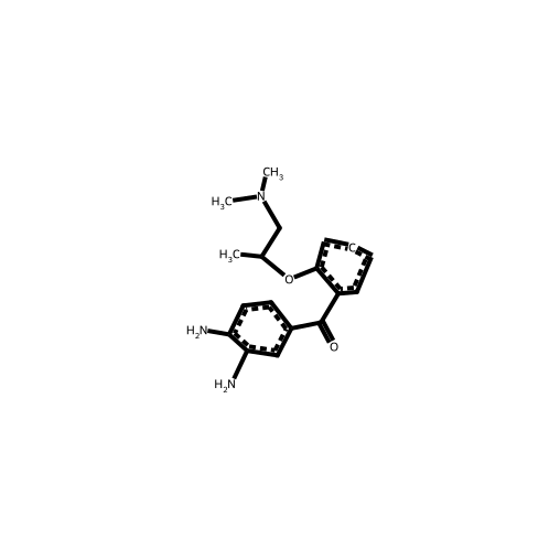 CC(CN(C)C)Oc1ccccc1C(=O)c1ccc(N)c(N)c1